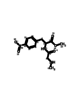 CNCC(=O)NC(Cc1ccc([N+](=O)[O-])cc1)C(=O)OC